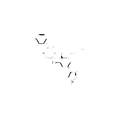 COCCn1cc(-c2cnn(C)c2)cc(N[C@H]2CC[C@@H](c3ccccc3)CC2)c1=O